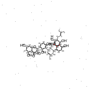 CC(C)=CCc1c(O)ccc(C(=O)C2C(c3c(O)ccc(-c4oc5cc(O)cc(O)c5c(=O)c4O)c3O)C=C(C)CC2c2ccc(O)cc2O)c1O